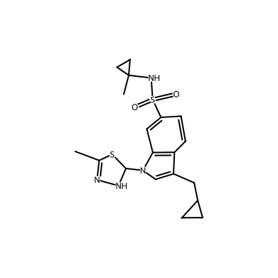 CC1=NNC(n2cc(CC3CC3)c3ccc(S(=O)(=O)NC4(C)CC4)cc32)S1